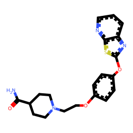 NC(=O)C1CCN(CCOc2ccc(Oc3nc4cccnc4s3)cc2)CC1